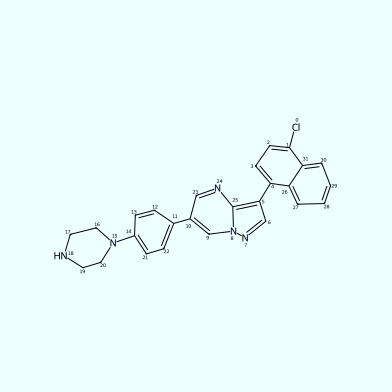 Clc1ccc(-c2cnn3cc(-c4ccc(N5CCNCC5)cc4)cnc23)c2ccccc12